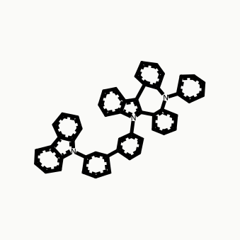 c1ccc(N2c3ccccc3-c3c(n(-c4cccc(-c5cccc(-n6c7ccccc7c7ccccc76)c5)c4)c4ccccc34)-c3ccccc32)cc1